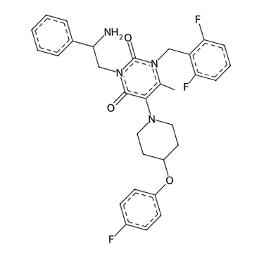 Cc1c(N2CCC(Oc3ccc(F)cc3)CC2)c(=O)n(CC(N)c2ccccc2)c(=O)n1Cc1c(F)cccc1F